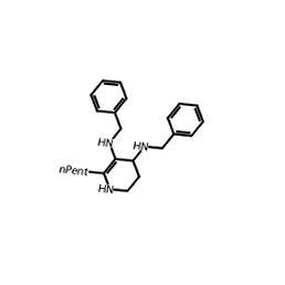 CCCCCC1=C(NCc2ccccc2)C(NCc2ccccc2)CCN1